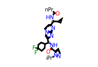 CCCC(=O)N[C@@H](c1ccn2cc([C@@H](NC(=O)c3ccnn3C(C)C)C3CCC(F)(F)CC3)nc2n1)C1CC1